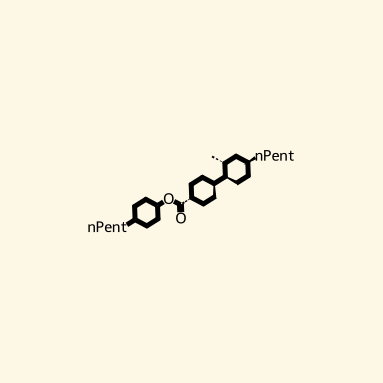 CCCCCC1CCC(OC(=O)[C@H]2CC[C@H]([C@@H]3CC[C@H](CCCCC)C[C@H]3C)CC2)CC1